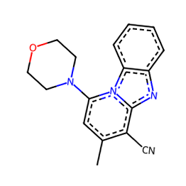 Cc1cc(N2CCOCC2)n2c(nc3ccccc32)c1C#N